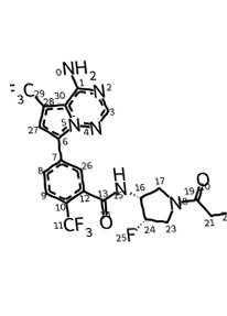 Nc1ncnn2c(-c3ccc(C(F)(F)F)c(C(=O)N[C@@H]4CN(C(=O)CC(F)(F)F)C[C@@H]4F)c3)cc(C(F)(F)F)c12